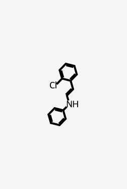 Clc1ccccc1C=CNc1ccccc1